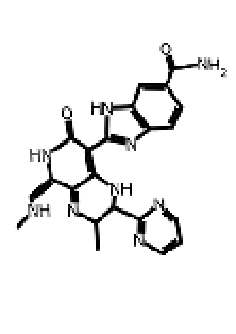 CN/C=c1/[nH]c(=O)c(-c2nc3ccc(C(N)=O)cc3[nH]2)c2c1=NC(C)C(c1ncccn1)N2